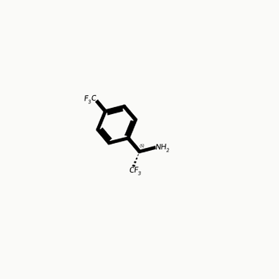 N[C@@H](c1ccc(C(F)(F)F)cc1)C(F)(F)F